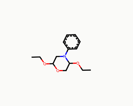 CCOC1CN(c2ccccc2)C(OCC)CO1